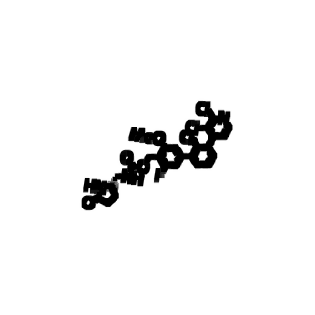 COc1cc(-c2cccc(-c3ccnc(Cl)c3Cl)c2Cl)cc(F)c1COC(=O)NC[C@@H]1CCC(=O)N1